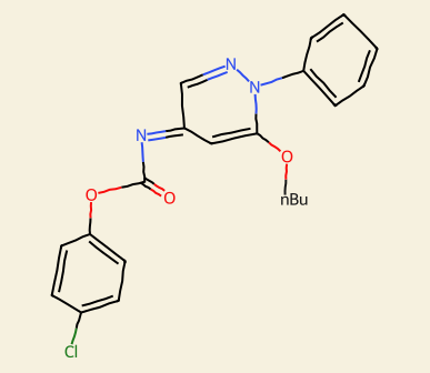 CCCCOc1c/c(=N\C(=O)Oc2ccc(Cl)cc2)cnn1-c1ccccc1